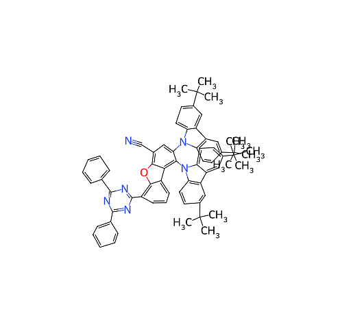 CC(C)(C)c1ccc2c(c1)c1cc(C(C)(C)C)ccc1n2-c1cc(C#N)c2oc3c(-c4nc(-c5ccccc5)nc(-c5ccccc5)n4)cccc3c2c1-n1c2ccc(C(C)(C)C)cc2c2cc(C(C)(C)C)ccc21